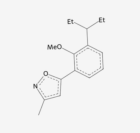 CCC(CC)c1cccc(-c2cc(C)no2)c1OC